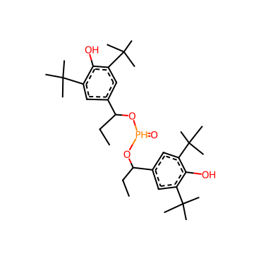 CCC(O[PH](=O)OC(CC)c1cc(C(C)(C)C)c(O)c(C(C)(C)C)c1)c1cc(C(C)(C)C)c(O)c(C(C)(C)C)c1